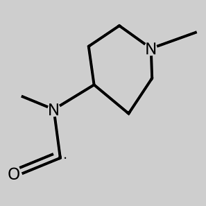 CN1CCC(N(C)[C]=O)CC1